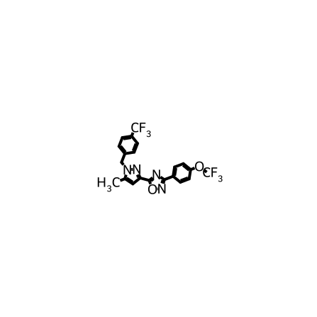 Cc1cc(-c2nc(-c3ccc(OC(F)(F)F)cc3)no2)nn1Cc1ccc(C(F)(F)F)cc1